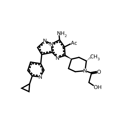 CC(=O)c1c([C@@H]2CCN(C(=O)CO)[C@@H](C)C2)nc2c(-c3ccc(C4CC4)nc3)cnn2c1N